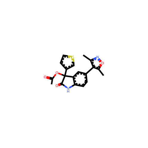 CC(=O)OC1(c2ccsc2)C(=O)Nc2ccc(-c3c(C)noc3C)cc21